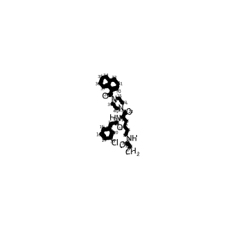 C=CC(=O)NCCCCC(NC(=O)Cc1cccc(Cl)c1)C(=O)N1CCN(C(=O)c2cccc3ccccc23)CC1